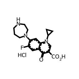 Cl.O=C(O)c1cn(C2CC2)c2cc(N3CCCNCC3)c(F)cc2c1=O